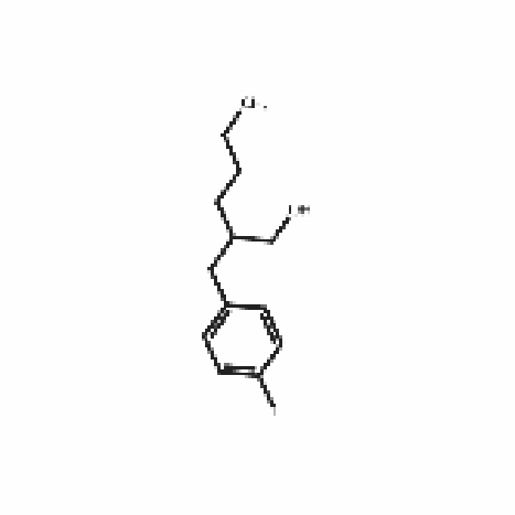 CCCCC(CO)Cc1ccc(I)cc1